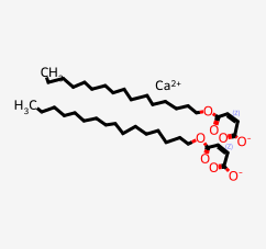 CCCCCCCCCCCCCCCCOC(=O)/C=C\C(=O)[O-].CCCCCCCCCCCCCCCCOC(=O)/C=C\C(=O)[O-].[Ca+2]